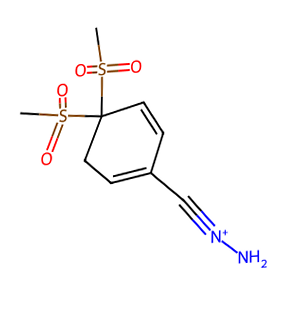 CS(=O)(=O)C1(S(C)(=O)=O)C=CC(C#[N+]N)=CC1